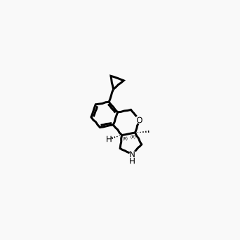 C[C@]12CNC[C@H]1c1cccc(C3CC3)c1CO2